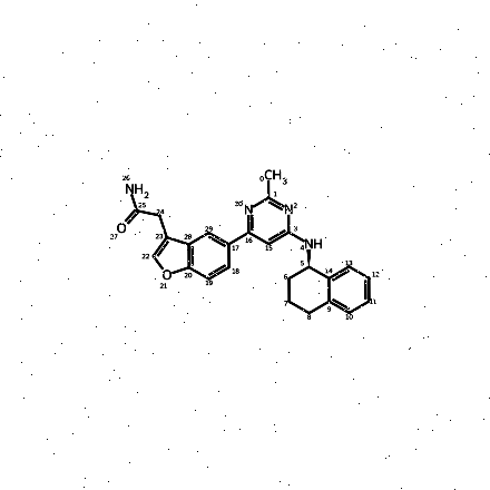 Cc1nc(N[C@@H]2CCCc3ccccc32)cc(-c2ccc3occ(CC(N)=O)c3c2)n1